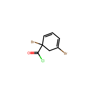 O=C(Cl)C1(Br)C=CC=C(Br)C1